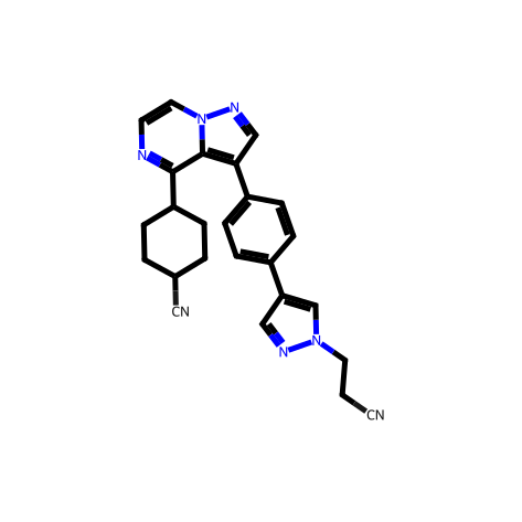 N#CCCn1cc(-c2ccc(-c3cnn4ccnc(C5CCC(C#N)CC5)c34)cc2)cn1